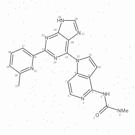 CNC(=O)Nc1nccc2c1ccn2-c1nc(-c2cccc(C)n2)nc2[nH]cnc12